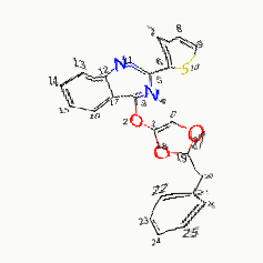 C1=C(Oc2nc(-c3cccs3)nc3ccccc23)OC(Cc2ccccc2)O1